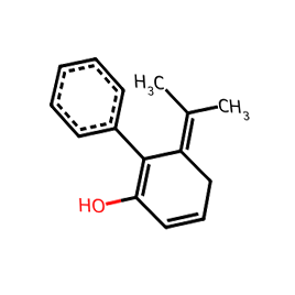 CC(C)=C1CC=CC(O)=C1c1ccccc1